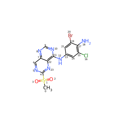 CS(=O)(=O)c1ncc2ncnc(Nc3cc(Cl)c(N)c(Br)c3)c2n1